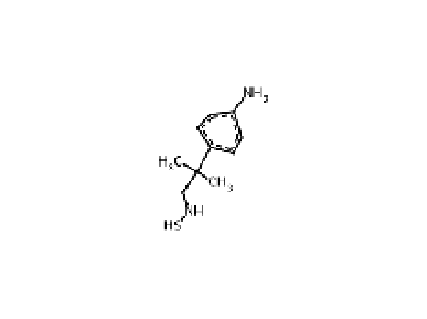 CC(C)(CNS)c1ccc(N)cc1